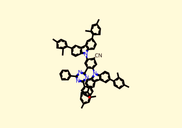 Cc1ccc(-c2ccc3c(c2)c2cc(-c4ccc(C)cc4C)ccc2n3-c2cc(-c3nc(-c4ccccc4)nc(-c4ccccc4)n3)c(-n3c4ccc(-c5ccc(C)cc5C)cc4c4cc(-c5ccc(C)cc5C)ccc43)cc2C#N)c(C)c1